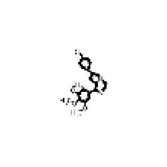 COc1cc(-c2nccn3cc(-c4ccc(Cl)cc4)cc23)cc(OC)c1OC